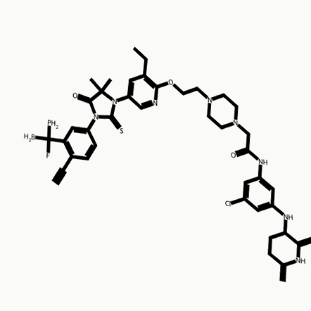 BC(F)(P)c1cc(N2C(=O)C(C)(C)N(c3cnc(OCCN4CCN(CC(=O)Nc5cc(Cl)cc(NC6CCC(=C)NC6=C)c5)CC4)c(CC)c3)C2=S)ccc1C#C